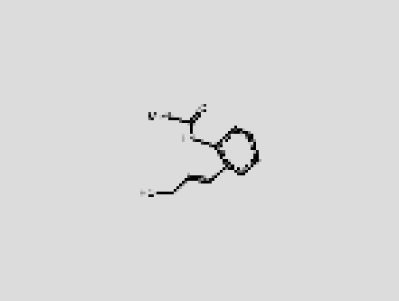 CNC(=O)Nc1ccccc1/C=C/CO